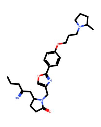 CCCC(=N)CC1CCC(=O)N1Cc1coc(-c2ccc(OCCCN3CCCC3C)cc2)n1